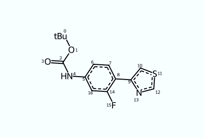 CC(C)(C)OC(=O)Nc1ccc(-c2cscn2)c(F)c1